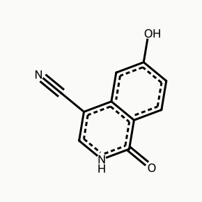 N#Cc1c[nH]c(=O)c2ccc(O)cc12